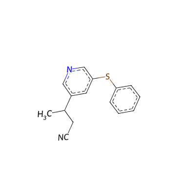 CC(CC#N)c1cncc(Sc2ccccc2)c1